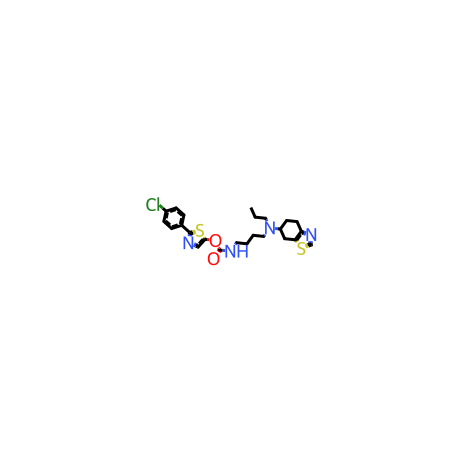 CCCN(CCCCNC(=O)Oc1cnc(-c2ccc(Cl)cc2)s1)C1CCc2ncsc2C1